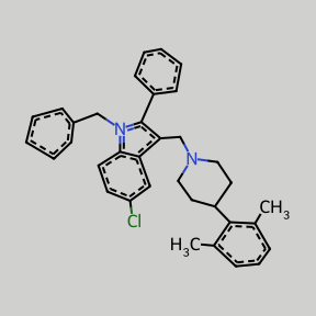 Cc1cccc(C)c1C1CCN(Cc2c(-c3ccccc3)n(Cc3ccccc3)c3ccc(Cl)cc23)CC1